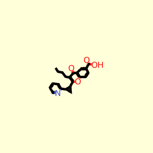 CCCCc1c(C2CC2c2ccccn2)oc2ccc(C(=O)O)cc2c1=O